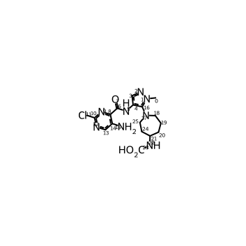 Cn1ncc(NC(=O)c2nc(Cl)ncc2N)c1N1CCCC(NC(=O)O)CC1